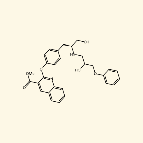 COC(=O)c1cc2ccccc2nc1Oc1ccc(C[C@@H](CO)NCC(O)COc2ccccc2)cc1